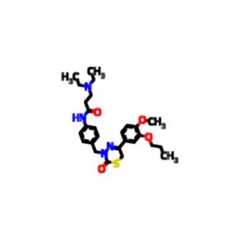 CCCOc1cc(C2=NN(Cc3ccc(NC(=O)CCN(CC)CC)cc3)C(=O)SC2)ccc1OC